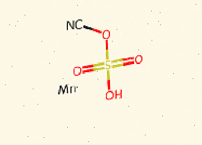 N#COS(=O)(=O)O.[Mn]